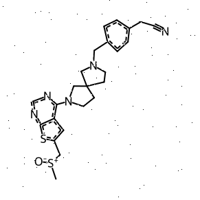 C[S+]([O-])Cc1cc2c(N3CCC4(CCN(Cc5ccc(CC#N)cc5)C4)C3)ncnc2s1